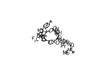 CO[C@@H](C)c1ncc(N2CCN(C3CC3)CC2)cc1-c1c2c3cc(ccc3n1CC(F)(F)F)C1=CCCN(C1)C[C@H](NC(=O)C(C(C)C)N1CC[C@]3(CCN(C(=O)[C@H]4C(C5CC5)N4CC(=O)N(C)C)C3)C1)C(=O)N1CCC[C@H](N1)C(=O)OCC(C)(C)C2